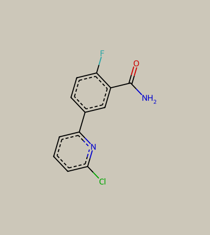 NC(=O)c1cc(-c2cccc(Cl)n2)ccc1F